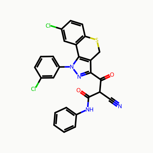 N#CC(C(=O)Nc1ccccc1)C(=O)c1nn(-c2cccc(Cl)c2)c2c1CSc1ccc(Cl)cc1-2